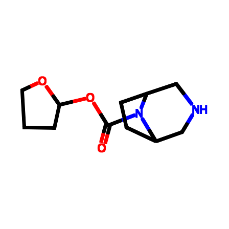 O=C(OC1CCCO1)N1C2CCC1CNC2